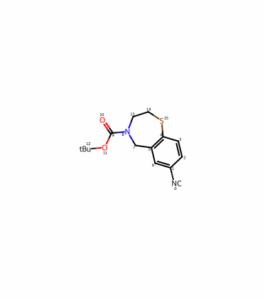 [C-]#[N+]c1ccc2c(c1)CN(C(=O)OC(C)(C)C)CCS2